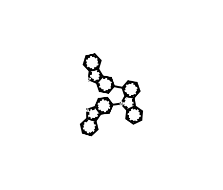 c1ccc2c(c1)sc1ccc(-c3cccc4c5ccccc5n(-c5ccc6sc7ccccc7c6c5)c34)cc12